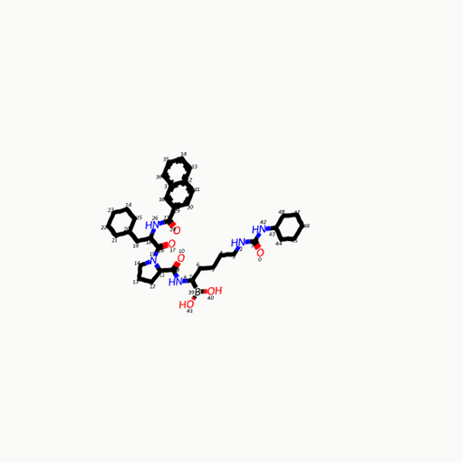 O=C(NCCCCC(NC(=O)C1CCCN1C(=O)C(CC1CCCCC1)NC(=O)c1ccc2ccccc2c1)B(O)O)NC1CCCCC1